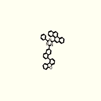 c1ccc(-c2nc(-c3ccc4c(-c5cccc6oc7ccccc7c56)cccc4c3)nc(-c3cc4ccccc4c4ccc5ccccc5c34)n2)cc1